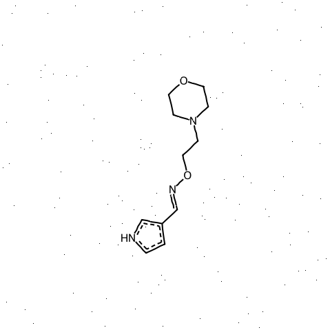 C(=NOCCN1CCOCC1)c1cc[nH]c1